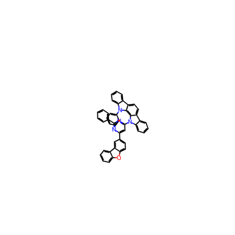 c1ccc(-c2nc(-c3ccc4oc5ccccc5c4c3)cc(-n3c4ccccc4c4ccc5c6ccccc6n(-c6ccccc6)c5c43)n2)cc1